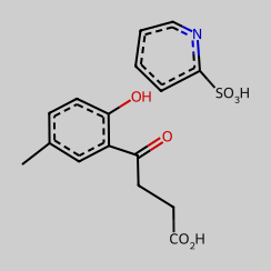 Cc1ccc(O)c(C(=O)CCC(=O)O)c1.O=S(=O)(O)c1ccccn1